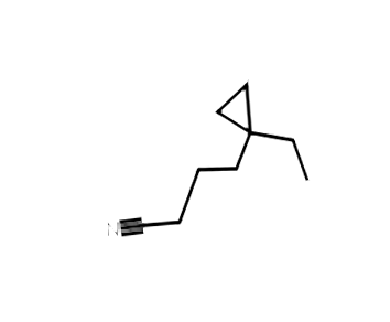 CCC1(CCCC#N)CC1